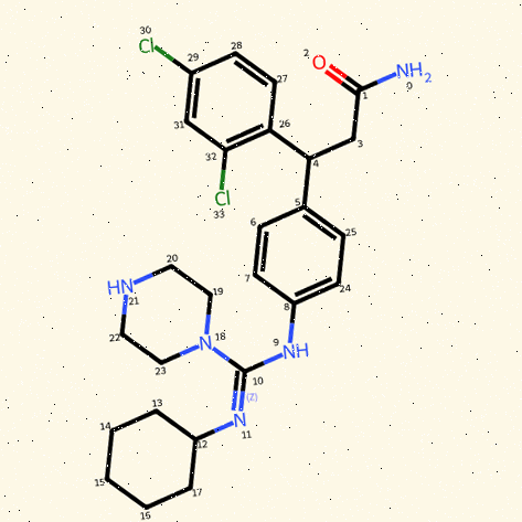 NC(=O)CC(c1ccc(N/C(=N/C2CCCCC2)N2CCNCC2)cc1)c1ccc(Cl)cc1Cl